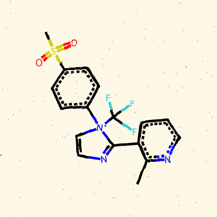 Cc1ncccc1C1=NC=C[N+]1(c1ccc(S(C)(=O)=O)cc1)C(F)(F)F